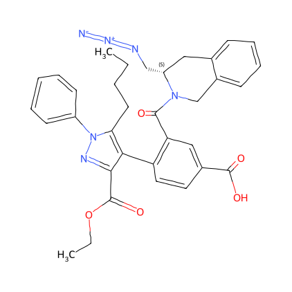 CCCCc1c(-c2ccc(C(=O)O)cc2C(=O)N2Cc3ccccc3C[C@H]2CN=[N+]=[N-])c(C(=O)OCC)nn1-c1ccccc1